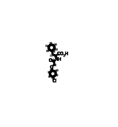 O=C(COc1ccc(Cl)cc1)N[C@@H](Cc1ccccc1)C(=O)O